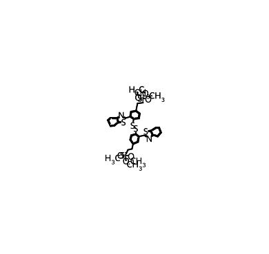 CO[Si](CCc1ccc(SSc2ccc(CC[Si](OC)(OC)OC)cc2-c2nc3ccccc3s2)c(-c2nc3ccccc3s2)c1)(OC)OC